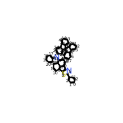 c1ccc(-c2nc3c(s2)-c2cccc4c(N(c5ccccc5)c5ccc6c(c5)C5(c7ccccc7-c7ccccc75)c5ccccc5-6)ccc-3c24)cc1